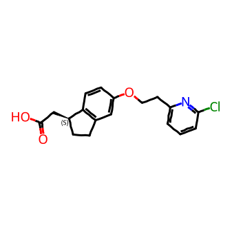 O=C(O)C[C@@H]1CCc2cc(OCCc3cccc(Cl)n3)ccc21